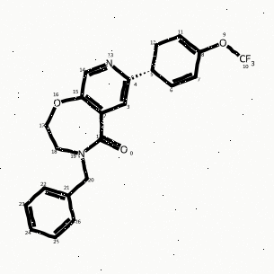 O=C1c2cc([C@H]3C=CC(OC(F)(F)F)=CC3)ncc2OCCN1Cc1ccccc1